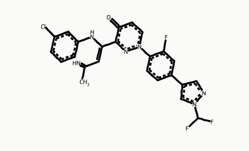 CC(=N)/C=C(\Nc1cccc(Cl)c1)c1nn(-c2ccc(-c3cnn(C(F)F)c3)cc2F)ccc1=O